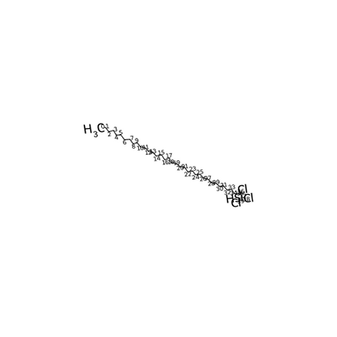 CCCCCCCCCCCCCCCCCCCCCCCCCCCCCCCCCCC[C@H](Cl)[SiH](Cl)Cl